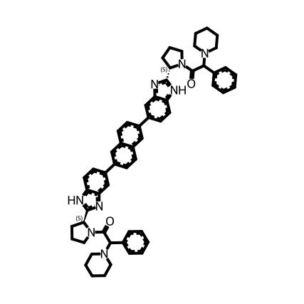 O=C(C(c1ccccc1)N1CCCCC1)N1CCC[C@H]1c1nc2cc(-c3ccc4cc(-c5ccc6[nH]c([C@@H]7CCCN7C(=O)C(c7ccccc7)N7CCCCC7)nc6c5)ccc4c3)ccc2[nH]1